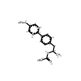 CCCCCc1cnc(-c2ccc(CC(C)OC(=O)CCCC)cc2)nc1